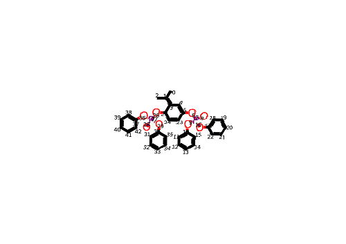 CC(C)=C1C=C(OP(=O)(Oc2ccccc2)Oc2ccccc2)C=CC1OP(=O)(Oc1ccccc1)Oc1ccccc1